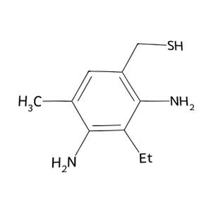 CCc1c(N)c(C)cc(CS)c1N